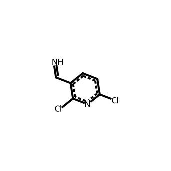 N=Cc1ccc(Cl)nc1Cl